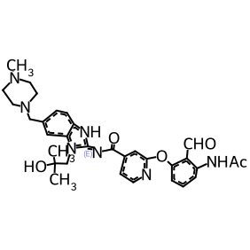 CC(=O)Nc1cccc(Oc2cc(C(=O)/N=c3\[nH]c4ccc(CN5CCN(C)CC5)cc4n3CC(C)(C)O)ccn2)c1C=O